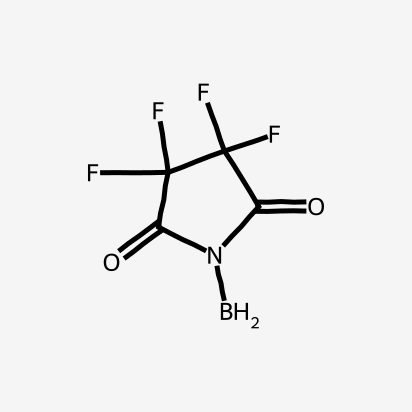 BN1C(=O)C(F)(F)C(F)(F)C1=O